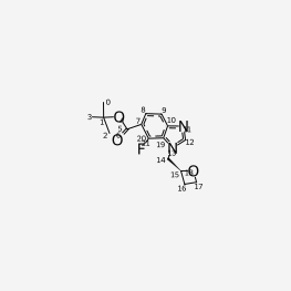 CC(C)(C)OC(=O)c1ccc2ncn(C[C@@H]3CCO3)c2c1F